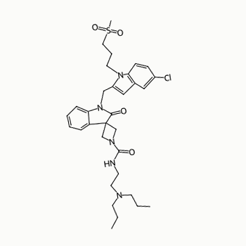 CCCN(CCC)CCNC(=O)N1CC2(C1)C(=O)N(Cc1cc3cc(Cl)ccc3n1CCCS(C)(=O)=O)c1ccccc12